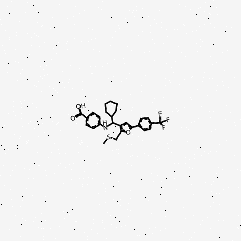 CSCc1oc(-c2ccc(C(F)(F)F)cc2)cc1C(Nc1ccc(C(=O)O)cc1)C1CCCCC1